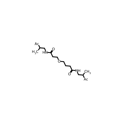 CC(=O)C(C)CNC(=O)CCCOCCC(=O)NCC(C)C(C)=O